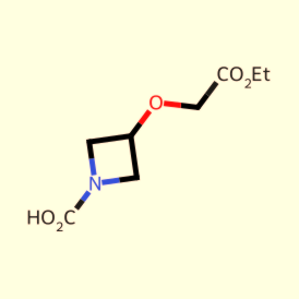 CCOC(=O)COC1CN(C(=O)O)C1